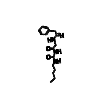 [2H]C(Cc1ccccc1)NCC(=O)NC(=O)NCCCCC